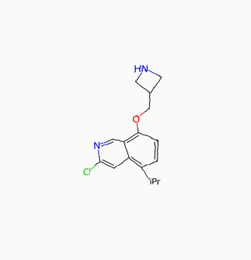 CC(C)c1ccc(OCC2CNC2)c2cnc(Cl)cc12